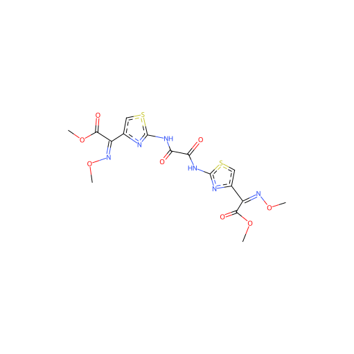 CON=C(C(=O)OC)c1csc(NC(=O)C(=O)Nc2nc(C(=NOC)C(=O)OC)cs2)n1